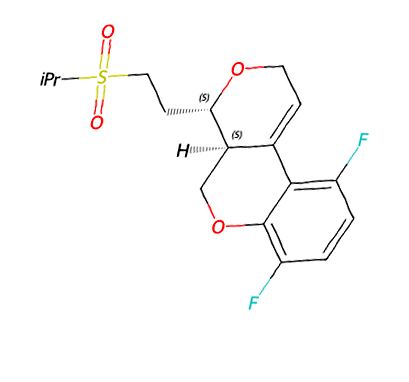 CC(C)S(=O)(=O)CC[C@@H]1OCC=C2c3c(F)ccc(F)c3OC[C@H]21